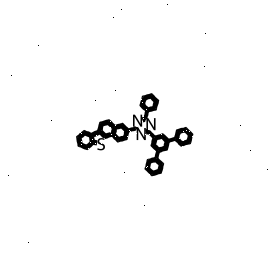 c1ccc(-c2cc(-c3ccccc3)cc(-c3nc(-c4ccccc4)nc(-c4ccc5c(ccc6c7ccccc7sc56)c4)n3)c2)cc1